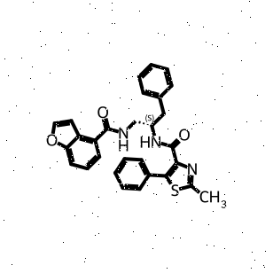 Cc1nc(C(=O)N[C@H](CNC(=O)c2cccc3occc23)Cc2ccccc2)c(-c2ccccc2)s1